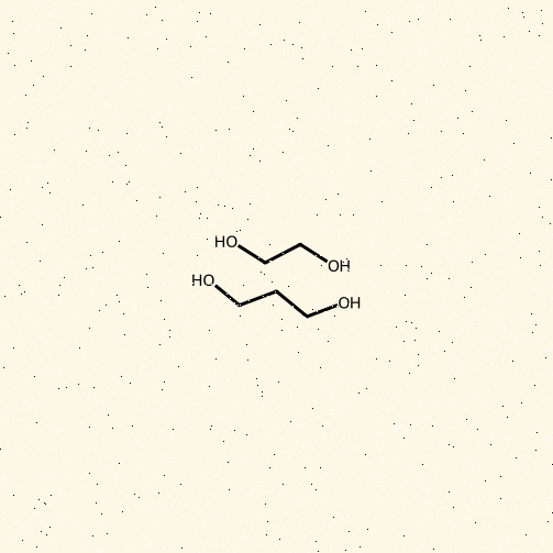 OCCCO.OCCO